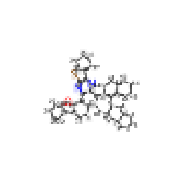 c1ccc2cc3c(cc2c1)CCC(c1nc2c(nc1-c1cccc4c1oc1ccccc14)sc1ccccc12)c1ccc2ccccc2c1-3